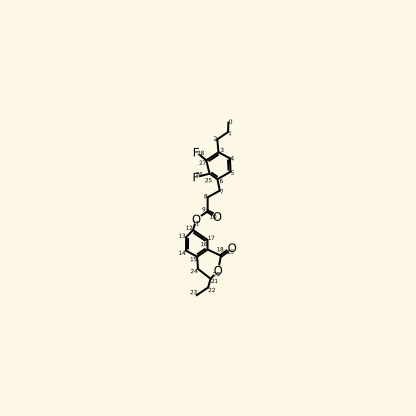 CCCc1ccc(CCC(=O)Oc2ccc3c(c2)C(=O)OC(CC)C3)c(F)c1F